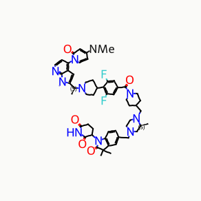 CNc1ccn(-c2ccnc3c2cc([C@H](C)N2CCC(c4c(F)cc(C(=O)N5CCC(CN6CCN(Cc7ccc8c(c7)C(C)(C)C(=O)N8C7CCC(=O)NC7=O)C[C@@H]6C)CC5)cc4F)CC2)n3C)c(=O)c1